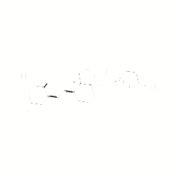 C=C1C(=CC=C2CCC[C@]3(C)[C@@H](C(C)CN4CCC(C)C4)CC[C@@H]23)C[C@@H](O)C[C@@H]1O